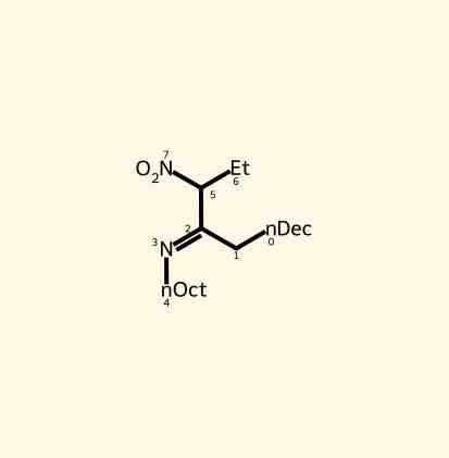 CCCCCCCCCCC/C(=N\CCCCCCCC)C(CC)[N+](=O)[O-]